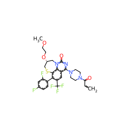 C=CC(=O)N1CCN(c2nc(=O)n3c4c(c(-c5ccc(F)cc5F)c(C(F)(F)F)cc24)SC[C@H](OCCOC)C3)CC1